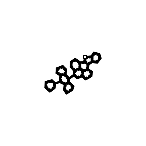 c1ccc(-c2c3ccccc3c(-c3cc4cccc5c6c7ccccc7oc6c6cccc3c6c45)c3ccccc23)cc1